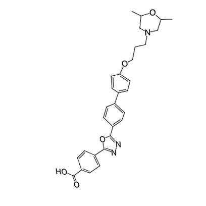 CC1CN(CCCOc2ccc(-c3ccc(-c4nnc(-c5ccc(C(=O)O)cc5)o4)cc3)cc2)CC(C)O1